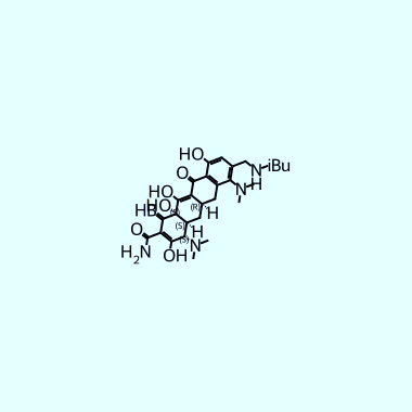 B=C1C(C(N)=O)=C(O)[C@@H](N(C)C)[C@@H]2C[C@@H]3Cc4c(c(O)cc(CNC(C)CC)c4N(C)C)C(=O)C3=C(O)[C@]12O